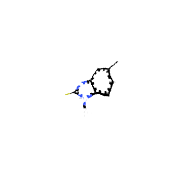 Cc1ccc2c(c1)nc(S)[n]2[Zn]